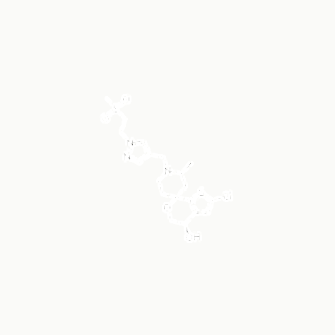 C[C@H]1C[C@@]2(CCN1Cc1cnn(CCS(C)(=O)=O)c1)OC[C@H](O)c1cc(Cl)sc12